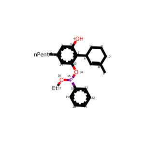 CCCCCc1cc(O)c(C2C=C(C)CCC2)c(OP(OCC)c2ccccc2)c1